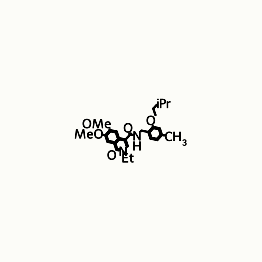 CCn1cc(C(=O)NCc2ccc(C)cc2OCCC(C)C)c2cc(OC)c(OC)cc2c1=O